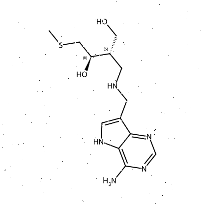 CSC[C@H](O)[C@H](CO)CNCc1c[nH]c2c(N)ncnc12